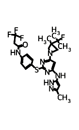 Cc1cc(Nc2cc(N3CC(C)(C(C)(C)F)C3)nc(Sc3ccc(NC(=O)CC(F)(F)F)cc3)n2)[nH]n1